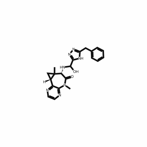 CN1C(=O)[C@@H](NC(O)c2nnc(Cc3ccccc3)[nH]2)C2(C)C[C@H]2c2nccnc21